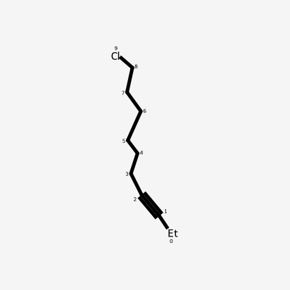 CCC#CCCCCCCCl